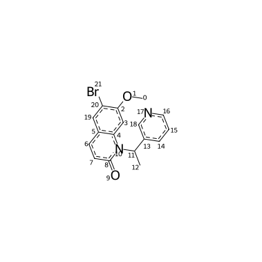 COc1cc2c(ccc(=O)n2C(C)c2cccnc2)cc1Br